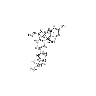 CC(C)c1ccc([C@](O)(c2cncc(-c3noc(C(C)(F)F)n3)c2)C2(C)CN(C)C2)cc1